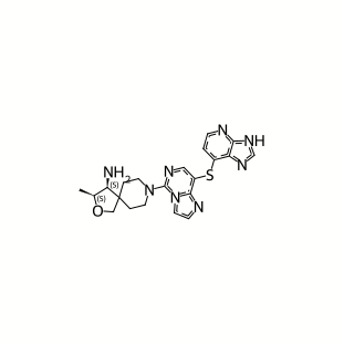 C[C@@H]1OCC2(CCN(c3ncc(Sc4ccnc5[nH]cnc45)c4nccn34)CC2)[C@@H]1N